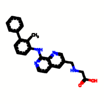 Cc1c(Nc2nccc3cc(CNCC(=O)O)cnc23)cccc1-c1ccccc1